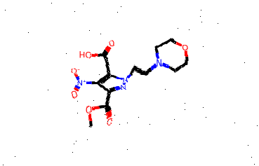 COC(=O)c1nn(CCN2CCOCC2)c(C(=O)O)c1[N+](=O)[O-]